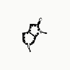 Cn1ccc2cc(=O)n(C)c-2c1